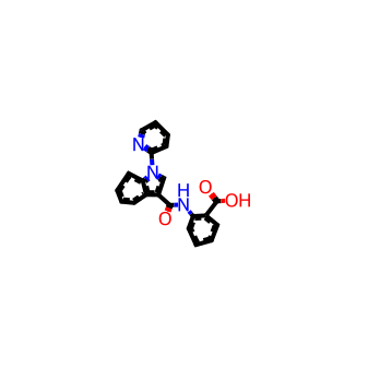 O=C(O)c1ccccc1NC(=O)c1cn(-c2ccccn2)c2ccccc12